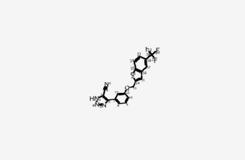 N#Cc1[nH]nnc1-c1cccc(OCc2cc3cc(C(F)(F)F)ccc3s2)c1